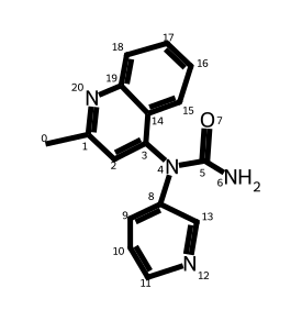 Cc1cc(N(C(N)=O)c2cccnc2)c2ccccc2n1